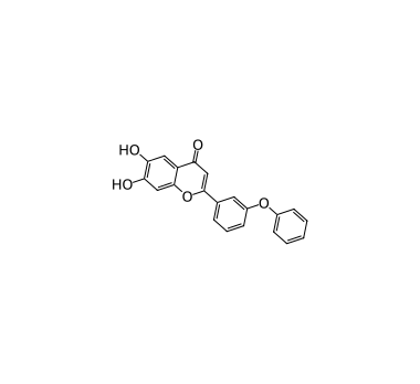 O=c1cc(-c2cccc(Oc3ccccc3)c2)oc2cc(O)c(O)cc12